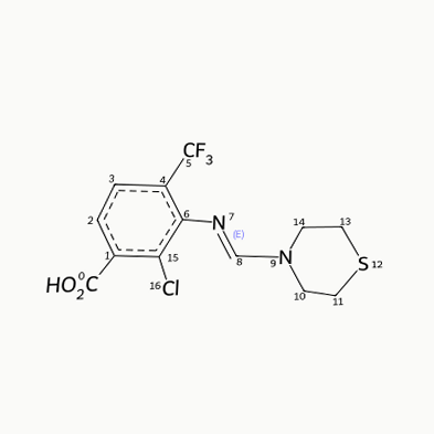 O=C(O)c1ccc(C(F)(F)F)c(/N=C/N2CCSCC2)c1Cl